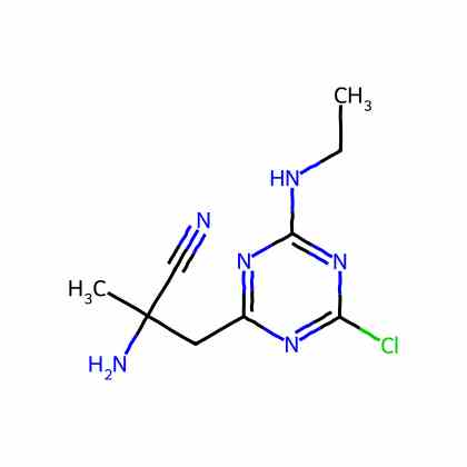 CCNc1nc(Cl)nc(CC(C)(N)C#N)n1